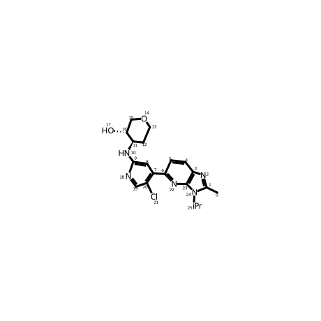 Cc1nc2ccc(-c3cc(N[C@@H]4CCOC[C@H]4O)ncc3Cl)nc2n1C(C)C